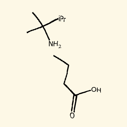 CC(C)C(C)(C)N.CCCC(=O)O